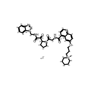 C[N+]1(CCCOc2ccc3nccc(C(=O)NCC(=O)N4CCCC4C(=O)C(=O)NCn4nnc5ccccc54)c3c2)CCCCC1.[I-]